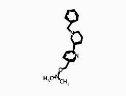 CN(C)OCc1ccc(C2=CCCN(Cc3ccccc3)C2)nc1